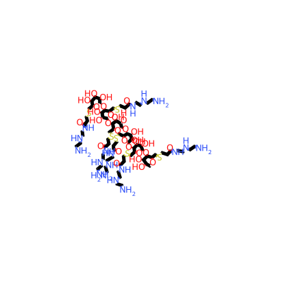 NCCNCCNC(=O)CCSCC1O[C@@H](O[C@@H]2C(CSCCC(=O)NCCNCCN)O[C@@H](O[C@@H]3C(CSCCC(=O)NCCNCCN)O[C@@H](O[C@@H]4C(CSCCC(=O)NCCNCCN)O[C@H](O[C@@H]5C(CSCCC(=O)NCCNCCN)O[C@H](O[C@@H]6C(CSCCC(=O)NCCNCCN)OCC(O)[C@H]6O)C(O)[C@H]5O)C(O)[C@H]4O)C(O)[C@H]3O)C(O)[C@H]2O)C(O)[C@@H](O)[C@@H]1O